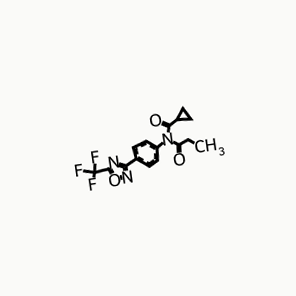 CCC(=O)N(C(=O)C1CC1)c1ccc(-c2noc(C(F)(F)F)n2)cc1